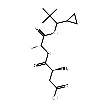 C[C@@H](NC(=O)[C@@H](N)CC(=O)O)C(=O)NC(C1CC1)C(C)(C)C